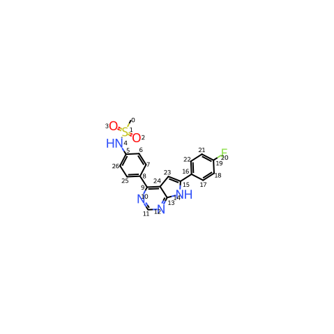 CS(=O)(=O)Nc1ccc(-c2ncnc3[nH]c(-c4ccc(F)cc4)cc23)cc1